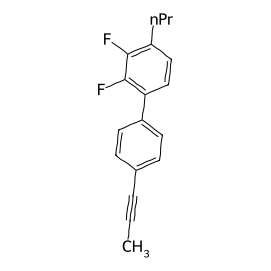 CC#Cc1ccc(-c2ccc(CCC)c(F)c2F)cc1